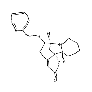 O=C1C=C2CC(SCc3ccccc3)[C@@H]3C[C@@]2(O1)[C@H]1CCCCN31